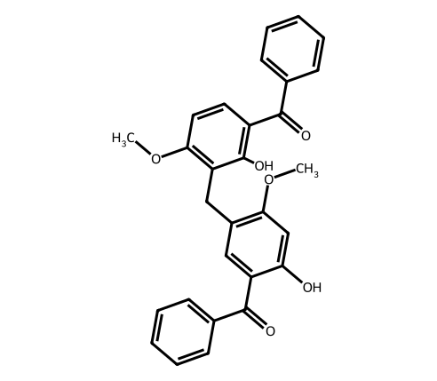 COc1cc(O)c(C(=O)c2ccccc2)cc1Cc1c(OC)ccc(C(=O)c2ccccc2)c1O